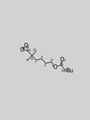 CCCCC(=O)OCCCCC(C)(C)C1OO1